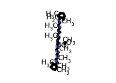 CC(=O)O.CC1=C(/C=C/C(C)=C/C=C/C(C)=C/C=C/C=C(C)/C=C/C=C(C)/C=C/C2=C(C)CCCC2(C)C)C(C)(C)CCC1